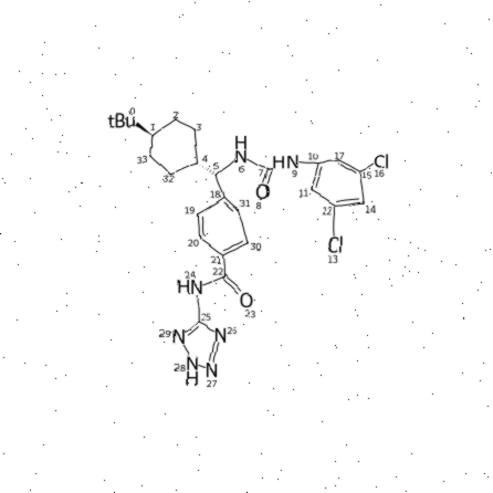 CC(C)(C)[C@H]1CC[C@H](C(NC(=O)Nc2cc(Cl)cc(Cl)c2)c2ccc(C(=O)Nc3nn[nH]n3)cc2)CC1